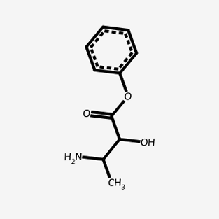 CC(N)C(O)C(=O)Oc1ccccc1